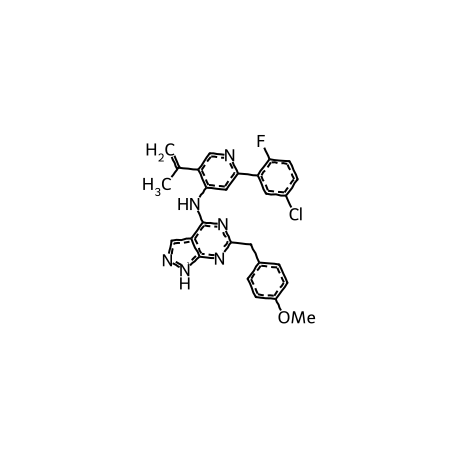 C=C(C)c1cnc(-c2cc(Cl)ccc2F)cc1Nc1nc(Cc2ccc(OC)cc2)nc2[nH]ncc12